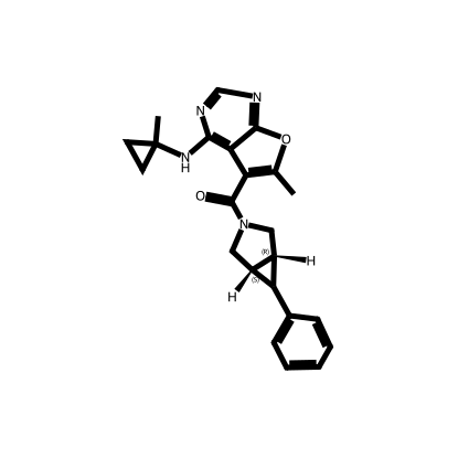 Cc1oc2ncnc(NC3(C)CC3)c2c1C(=O)N1C[C@@H]2C(c3ccccc3)[C@@H]2C1